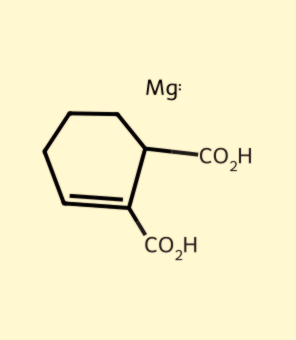 O=C(O)C1=CCCCC1C(=O)O.[Mg]